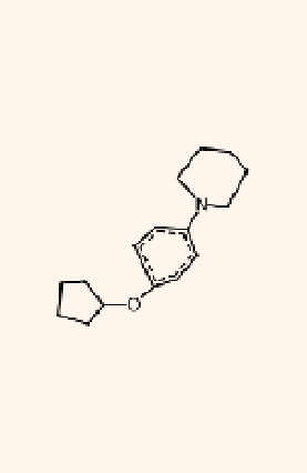 c1cc(N2CCCCC2)ccc1OC1CCCC1